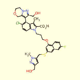 Cc1c(C(=O)O)n(CCCOc2cc(SCc3cc(CO)nn3C)cc3cc(F)ccc23)c2ccc(Cl)c(-c3c(CO)nn4c3COCC4)c12